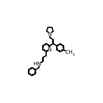 Cc1ccc(C(=CCN2CCCC2)c2cccc(CC=CNCc3ccccc3)n2)cc1